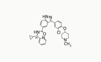 CN1CCC(Oc2ccc(-c3n[nH]c4ccc(C(=O)N[C@@H](c5ccccn5)C5CC5)cc34)cc2Cl)CC1